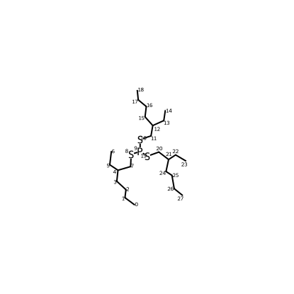 CCCCC(CC)CSP(SCC(CC)CCCC)SCC(CC)CCCC